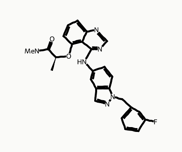 CNC(=O)[C@H](C)Oc1cccc2ncnc(Nc3ccc4c(cnn4Cc4cccc(F)c4)c3)c12